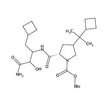 CC(C)(C)OC(=O)N1CC(C(C)(C)C2CCC2)C[C@H]1C(=O)NC(CC1CCC1)C(O)C(N)=O